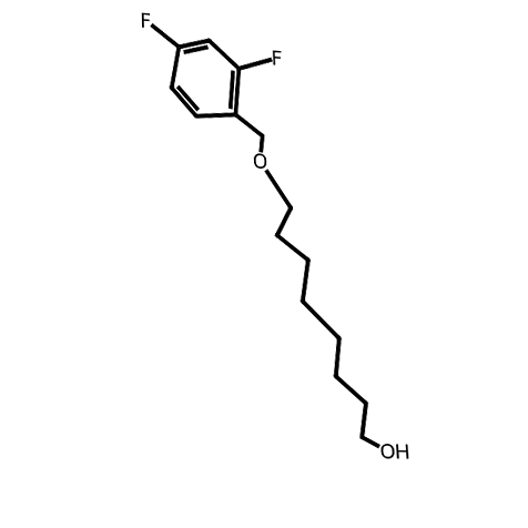 OCCCCCCCCOCc1ccc(F)cc1F